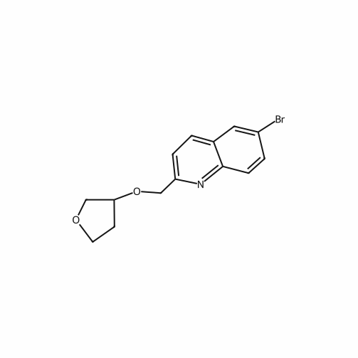 Brc1ccc2nc(COC3CCOC3)ccc2c1